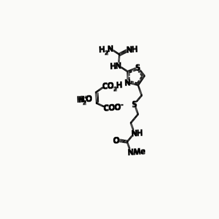 CNC(=O)NCCSCc1csc(NC(=N)N)n1.O.O=C([O-])/C=C\C(=O)O.[H+]